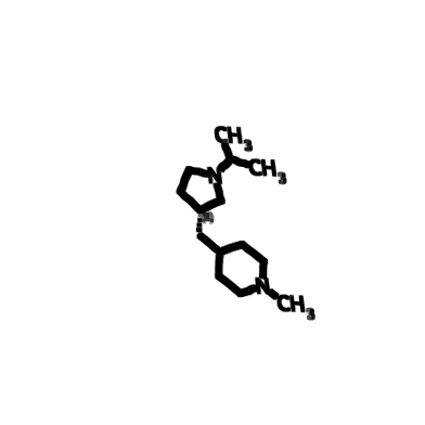 CC(C)N1CC[C@@H](CC2CCN(C)CC2)C1